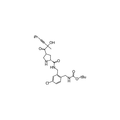 CC(C)C#CC(C)(O)C(=O)C1CN[C@H](C(=O)NCc2cc(Cl)ccc2CNC(=O)OC(C)(C)C)C1